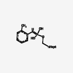 CCCCCCCCOP(O)(O)=[SH]c1ccccc1C